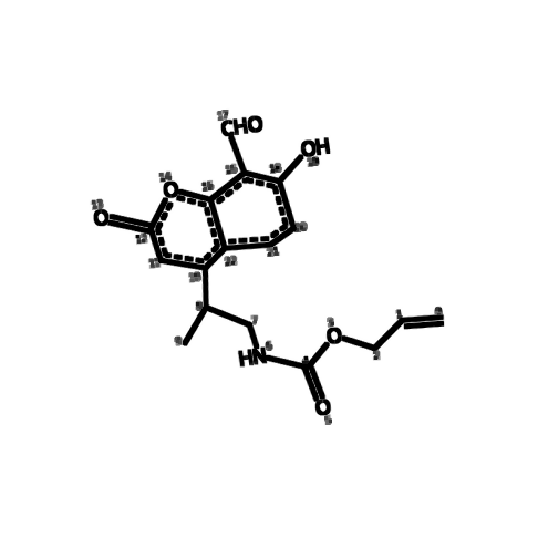 C=CCOC(=O)NCC(C)c1cc(=O)oc2c(C=O)c(O)ccc12